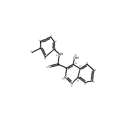 Cc1cccc(NC(=O)c2nnc3ccccc3c2O)c1